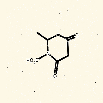 CC1CC(=O)CC(=O)N1C(=O)O